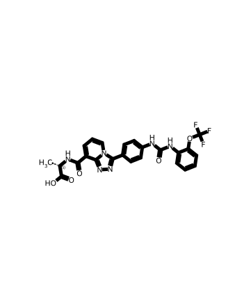 C[C@H](NC(=O)c1cccn2c(-c3ccc(NC(=O)Nc4ccccc4OC(F)(F)F)cc3)nnc12)C(=O)O